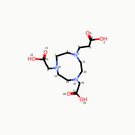 O=C(O)CCN1CCN(CC(=O)O)CCN(CC(=O)O)CC1